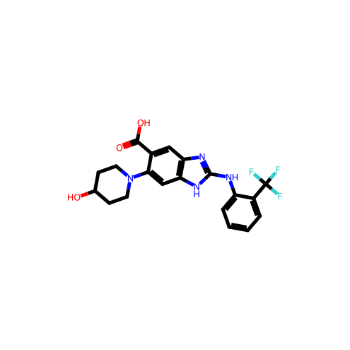 O=C(O)c1cc2nc(Nc3ccccc3C(F)(F)F)[nH]c2cc1N1CCC(O)CC1